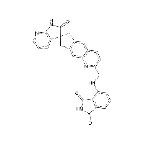 O=C1NC(=O)c2c(NCc3ccc4cc5c(cc4n3)CC3(C5)C(=O)Nc4ncccc43)cccc21